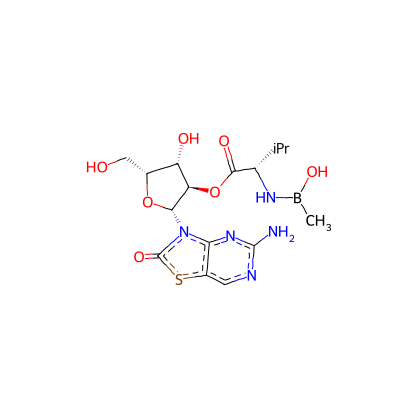 CB(O)N[C@H](C(=O)O[C@@H]1[C@@H](O)[C@@H](CO)O[C@H]1n1c(=O)sc2cnc(N)nc21)C(C)C